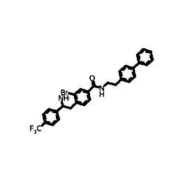 [NH]C(Cc1ccc(C(=O)NCCc2ccc(-c3ccccc3)cc2)cc1Br)c1ccc(C(F)(F)F)cc1